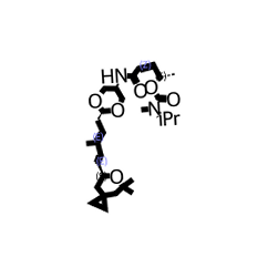 CC(/C=C/[C@@H]1CC2(CC2)CC(C)(C)O1)=C\C[C@H]1OC[C@@H](NC(=O)/C=C\[C@H](C)OC(=O)N(C)C(C)C)CO1